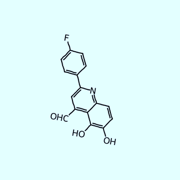 O=Cc1cc(-c2ccc(F)cc2)nc2ccc(O)c(O)c12